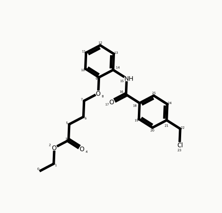 CCOC(=O)CCCOc1ccccc1NC(=O)c1ccc(CCl)cc1